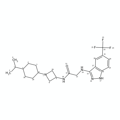 CC(C)C1CCC(N2CC(NC(=O)CNc3n[nH]c4ccc(C(F)(F)F)cc34)C2)CC1